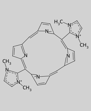 Cn1cc[n+](C)c1C1=C2C=CC(=N2)C=C2C=CC(=N2)C(c2n(C)cc[n+]2C)=C2C=CC(=N2)C=C2C=CC1=N2